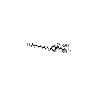 CCCCCCCCCOc1ccc(C(=O)N[C@H](CO)C(=N)N)cc1